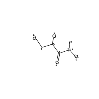 CCN(C)C(=O)C(Cl)CCl